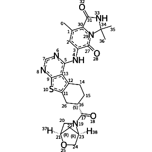 Cc1cc(Nc2ncnc3sc4c(c23)CC[C@H](C(=O)N2C[C@H]3C[C@@H]2CO3)C4)c(=O)n2c1C(=O)NC2(C)C